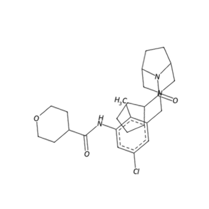 Cc1c(CN2CC3CCC(C2)N3C(=O)C2CCCC2)cc(Cl)cc1NC(=O)C1CCOCC1